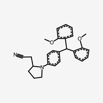 COc1ccccc1C(c1ccc(N2CCCC2CC#N)cc1)c1ccccc1OC